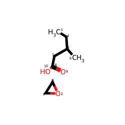 C1CO1.CCC(C)CC(=O)O